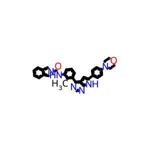 Cc1c(NC(=O)n2cc3ccccc3c2)cccc1-c1ncnc2[nH]c(-c3ccc(N4CCOCC4)cc3)cc12